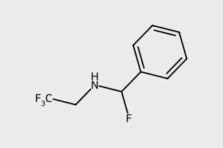 FC(NCC(F)(F)F)c1ccccc1